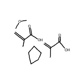 C1CCCC1.C=C(C)C(=O)O.C=C(C)C(=O)O.COC